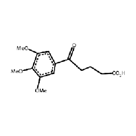 COc1cc(C(=O)CCCC(=O)O)cc(OC)c1OC